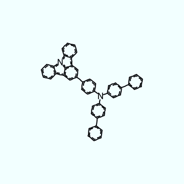 c1ccc(-c2ccc(N(c3ccc(-c4ccccc4)cc3)c3ccc(-c4cc5c6ccccc6n6c7ccccc7c(c4)c56)cc3)cc2)cc1